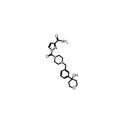 NC(=O)c1ccn(C(=O)N2CCN(Cc3cccc(C4(O)CCOCC4)c3)CC2)n1